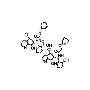 O=C(COc1ccccc1)NC(c1ccccc1C(=O)O)c1cc(Cl)c2cccnc2c1O.O=C(COc1ccccc1)NC(c1ccccc1O)c1cc(Cl)c2cccnc2c1O